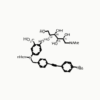 CCCCCCN(Cc1ccc(C#Cc2ccc(CCCC)cc2)cc1)c1ccc(O)c(C(=O)O)c1.CNC[C@H](O)[C@@H](O)[C@H](O)[C@H](O)CO